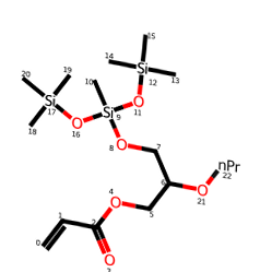 C=CC(=O)OCC(CO[Si](C)(O[Si](C)(C)C)O[Si](C)(C)C)OCCC